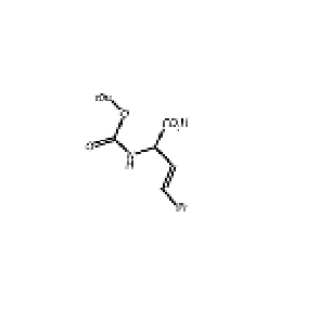 CC(C)C=CC(NC(=O)OC(C)(C)C)C(=O)O